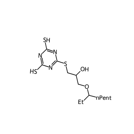 CCCCCC(CC)OCC(O)CSc1nc(S)nc(S)n1